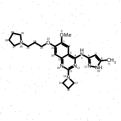 COc1cc2c(Nc3cc(C)[nH]n3)nc(N3CCC3)nc2cc1OCCCN1CCCC1